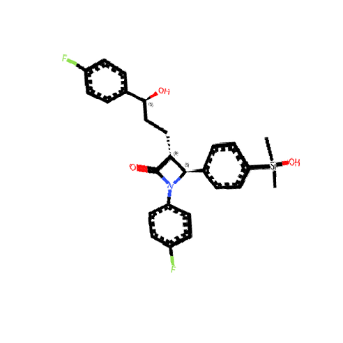 C[Si](C)(O)c1ccc([C@@H]2[C@@H](CC[C@H](O)c3ccc(F)cc3)C(=O)N2c2ccc(F)cc2)cc1